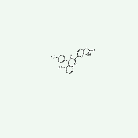 O=C1Cc2ccc(C(=O)N[C@@H](c3ccc(C(F)(F)F)cc3)c3ncccc3C(F)(F)F)cc2N1